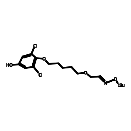 CC(C)(C)ON=CCOCCCCCOc1c(Cl)cc(O)cc1Cl